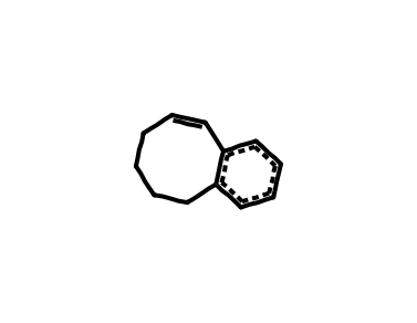 C1=Cc2ccccc2CCCC1